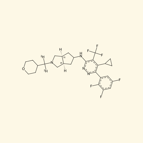 [2H]C([2H])(C1CCOCC1)N1C[C@H]2CC(Nc3nnc(-c4cc(F)cc(F)c4F)c(C4CC4)c3C(F)(F)F)C[C@H]2C1